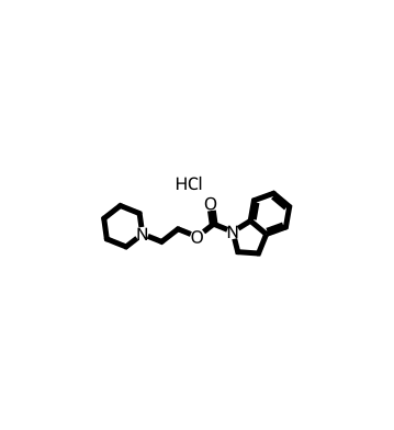 Cl.O=C(OCCN1CCCCC1)N1CCc2ccccc21